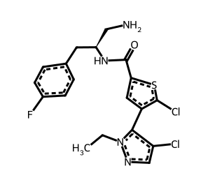 CCn1ncc(Cl)c1-c1cc(C(=O)N[C@H](CN)Cc2ccc(F)cc2)sc1Cl